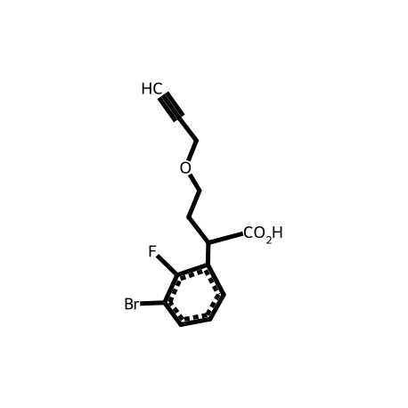 C#CCOCCC(C(=O)O)c1cccc(Br)c1F